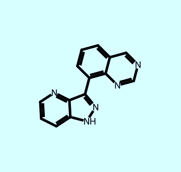 c1cc(-c2n[nH]c3cccnc23)c2ncncc2c1